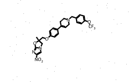 CC1(COc2ccc(C3=CCN(Cc4ccc(OC(F)(F)F)cc4)CC3)cc2)Cn2cc([N+](=O)[O-])nc2O1